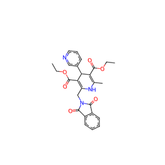 CCOC(=O)C1=C(C)NC(CN2C(=O)c3ccccc3C2=O)=C(C(=O)OCC)C1c1cccnc1